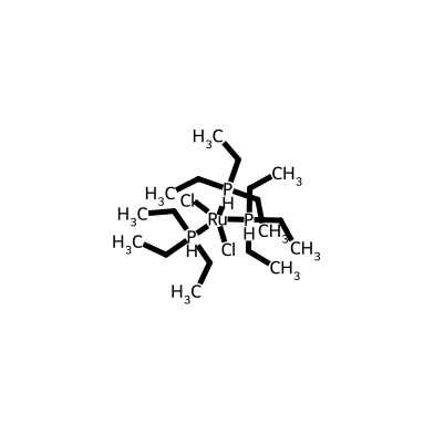 CC[PH](CC)(CC)[Ru]([Cl])([Cl])([PH](CC)(CC)CC)[PH](CC)(CC)CC